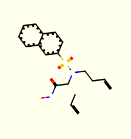 C=CCCN([C@H](CC=C)C(=O)NO)S(=O)(=O)c1ccc2ccccc2c1